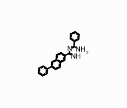 N=C(/N=C(\N)c1ccccc1)c1ccc2cc(-c3ccccc3)ccc2c1